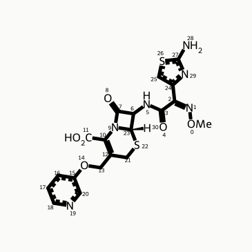 CO/N=C(\C(=O)NC1C(=O)N2C(C(=O)O)=C(COc3cccnc3)CS[C@@H]12)c1csc(N)n1